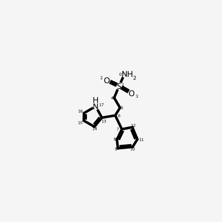 NS(=O)(=O)CCC(c1ccccc1)c1ccc[nH]1